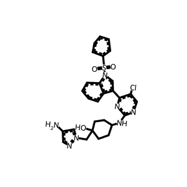 Nc1cnn(CC2(O)CCC(Nc3ncc(Cl)c(-c4cn(S(=O)(=O)c5ccccc5)c5ccccc45)n3)CC2)c1